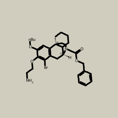 CCCCOc1cc2c(c(Br)c1OCCN)C[C@H]1C3CCCC[C@@]23CCN1C(=O)OCc1ccccc1